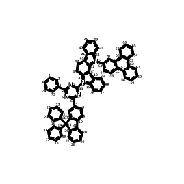 c1ccc(-c2nc(-c3ccc4c(c3)C(c3ccccc3)(c3ccccc3)c3ccccc3-4)nc(-n3c4ccccc4c4c3ccc3c5ccccc5n(-c5ccc6c7ccccc7c7ccccc7c6c5)c34)n2)cc1